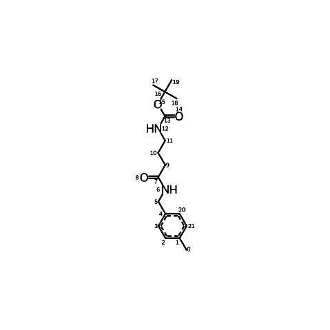 Cc1ccc(CNC(=O)CCCNC(=O)OC(C)(C)C)cc1